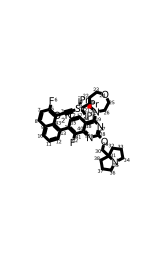 CC(C)[Si](C#Cc1c(F)ccc2cccc(-c3c([N+](=O)[O-])cc4c(N5CCCOCC5)nc(OCC56CCCN5CCC6)nc4c3F)c12)(C(C)C)C(C)C